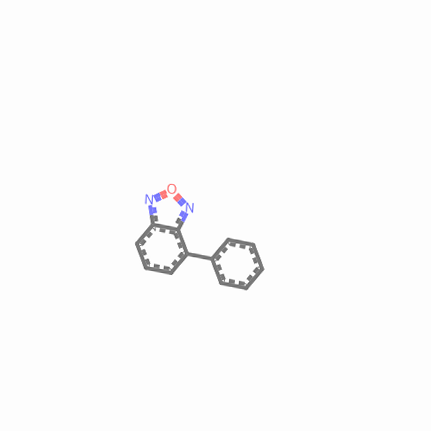 c1ccc(-c2cccc3nonc23)cc1